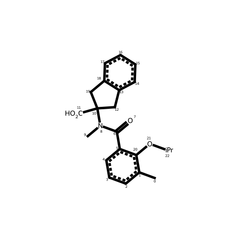 Cc1cccc(C(=O)N(C)C2(C(=O)O)Cc3ccccc3C2)c1OC(C)C